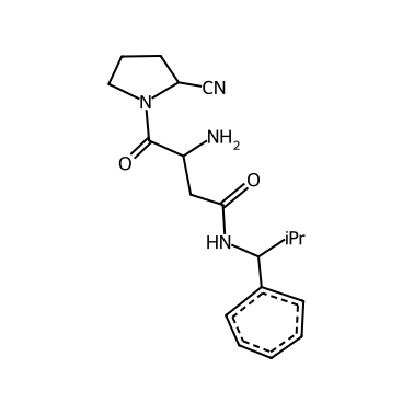 CC(C)C(NC(=O)CC(N)C(=O)N1CCCC1C#N)c1ccccc1